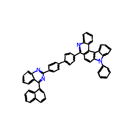 c1ccc(-n2c3ccccc3c3c4c(ccc32)c(-c2ccc(-c3ccc(-c5nc(-c6cccc7ccccc67)c6ccccc6n5)cc3)cc2)nc2ccccc24)cc1